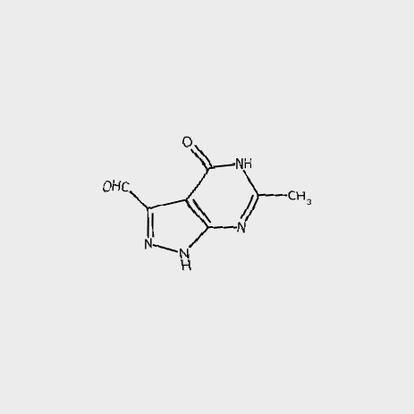 Cc1nc2[nH]nc(C=O)c2c(=O)[nH]1